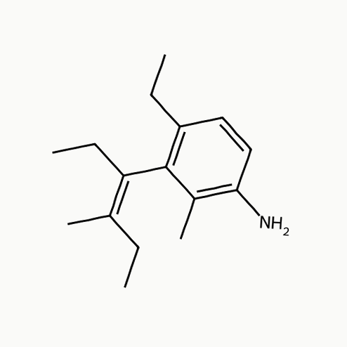 CC/C(C)=C(/CC)c1c(CC)ccc(N)c1C